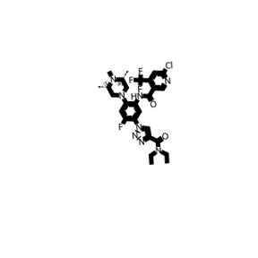 CCN(CC)C(=O)c1cn(-c2cc(NC(=O)c3cnc(Cl)cc3C(F)(F)F)c(N3C[C@@H](C)N(C)[C@@H](C)C3)cc2F)nn1